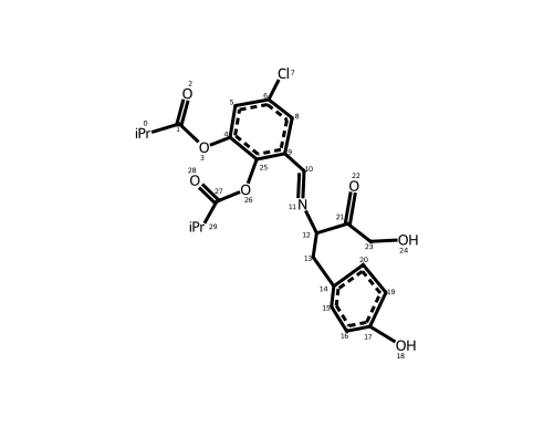 CC(C)C(=O)Oc1cc(Cl)cc(C=NC(Cc2ccc(O)cc2)C(=O)CO)c1OC(=O)C(C)C